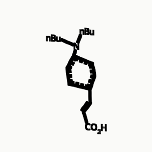 CCCCN(CCCC)c1ccc(/C=C/C(=O)O)cc1